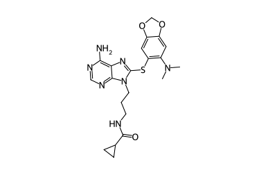 CN(C)c1cc2c(cc1Sc1nc3c(N)ncnc3n1CCCNC(=O)C1CC1)OCO2